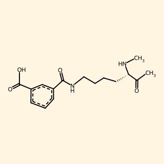 CN[C@@H](CCCCNC(=O)c1cccc(C(=O)O)c1)C(C)=O